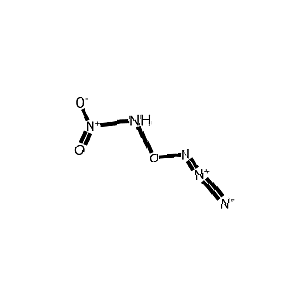 [N-]=[N+]=NON[N+](=O)[O-]